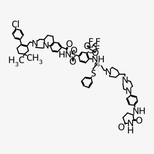 CC1(C)CCC(c2ccc(Cl)cc2)=C(CN2CCN3c4ccc(C(=O)NS(=O)(=O)c5ccc(N[C@H](CCN6CCC(CN7CCN(c8ccc(NC9CCC(=O)NC9=O)cc8)CC7)CC6)CSc6ccccc6)c(S(=O)(=O)C(F)(F)F)c5)cc4CCC3C2)C1